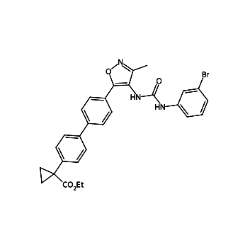 CCOC(=O)C1(c2ccc(-c3ccc(-c4onc(C)c4NC(=O)Nc4cccc(Br)c4)cc3)cc2)CC1